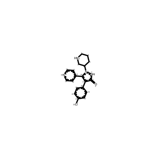 O=c1[nH]n(C2CCCNC2)c(-c2ccncc2)c1-c1ccc(Cl)cc1